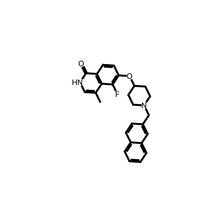 Cc1c[nH]c(=O)c2ccc(OC3CCN(Cc4ccc5ccccc5c4)CC3)c(F)c12